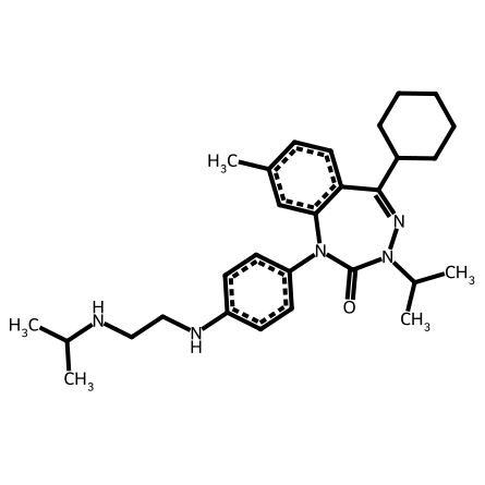 Cc1ccc2c(c1)N(c1ccc(NCCNC(C)C)cc1)C(=O)N(C(C)C)N=C2C1CCCCC1